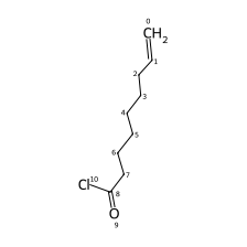 C=CCCCCCCC(=O)Cl